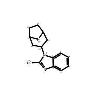 Cc1nc2ccccc2n1C1CC2CCC(C1)[N]2